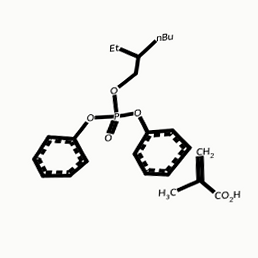 C=C(C)C(=O)O.CCCCC(CC)COP(=O)(Oc1ccccc1)Oc1ccccc1